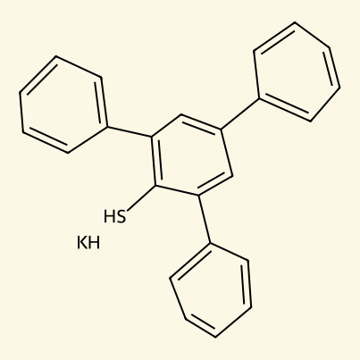 Sc1c(-c2ccccc2)cc(-c2ccccc2)cc1-c1ccccc1.[KH]